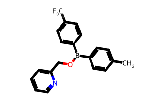 Cc1ccc(B(OCc2ccccn2)c2ccc(C(F)(F)F)cc2)cc1